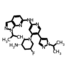 CC(C)n1cc(-c2cnc(Nc3ccc4cnn(C(C)C)c4n3)cc2N2C[C@@H](N)C[C@H](F)C2)cn1